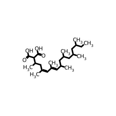 CCC(C)CC(C)CC(C)CC(C)/C=C(C)/C=C(/C)CC(C)C(C(=O)O)C(=O)O